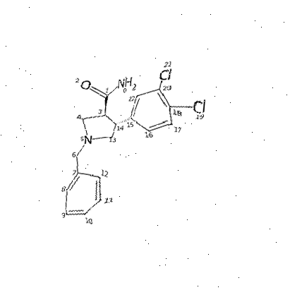 NC(=O)[C@@H]1CN(Cc2ccccc2)C[C@H]1c1ccc(Cl)c(Cl)c1